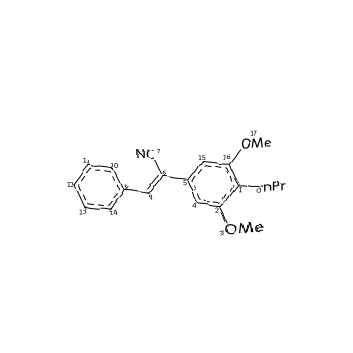 CCCc1c(OC)cc(C(C#N)=Cc2ccccc2)cc1OC